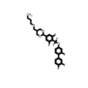 CCCCOCC1COC(c2cc(F)c(C(F)(F)Oc3ccc(-c4ccc(F)c(F)c4)c(F)c3)c(F)c2)OC1